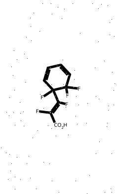 O=C(O)C(F)=C(F)C1(F)C=CC=CC1(F)F